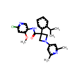 COc1cc(Cl)ncc1NC(=O)C1(c2ccccc2C(C)C)CN(c2cc(C)nc(C)c2)C1